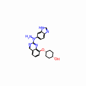 NN(c1ccc2nc[nH]c2c1)c1ncc2cccc(O[C@H]3CC[C@@H](O)CC3)c2n1